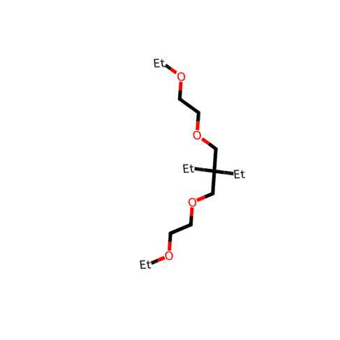 CCOCCOCC(CC)(CC)COCCOCC